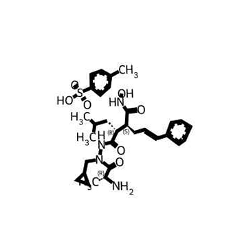 CC(C)C[C@@H](C(=O)NN(CC1CC1)C(=O)[C@@H](C)N)[C@H](CC=Cc1ccccc1)C(=O)NO.Cc1ccc(S(=O)(=O)O)cc1